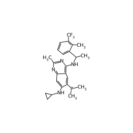 Cc1nc(NC(C)c2cccc(C(F)(F)F)c2C)c2cc(P(C)C)c(NC3CC3)cc2n1